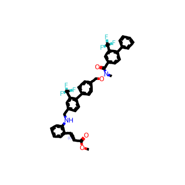 COC(=O)/C=C/c1ccccc1NCc1ccc(-c2ccc(CON(C)C(=O)c3ccc(-c4ccccc4)c(C(F)(F)F)c3)cc2)c(C(F)(F)F)c1